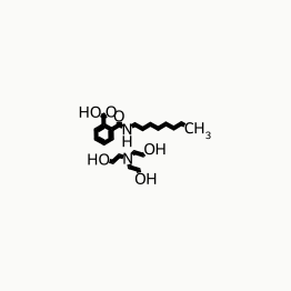 CCCCCCCCNC(=O)c1ccccc1C(=O)O.OCCN(CCO)CCO